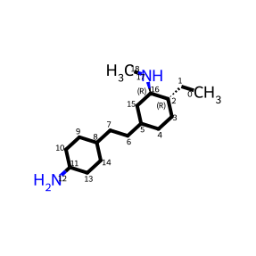 CC[C@@H]1CCC(CCC2CCC(N)CC2)C[C@H]1NC